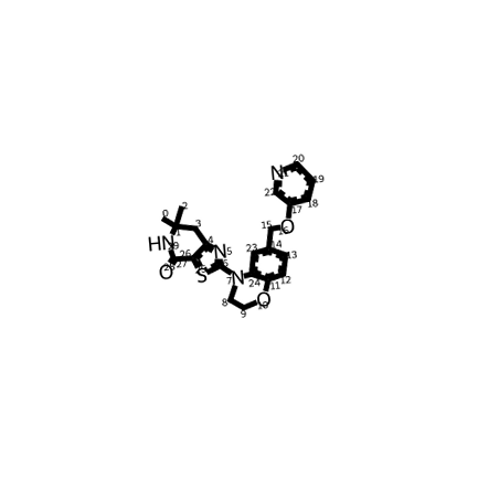 CC1(C)Cc2nc(N3CCOc4ccc(COc5cccnc5)cc43)sc2C(=O)N1